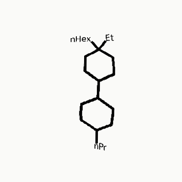 CCCCCCC1(CC)CCC(C2CCC(CCC)CC2)CC1